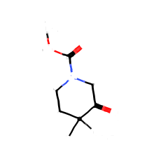 CCOC(=O)C1(C)CCN(C(=O)OC(C)(C)C)CC1=O